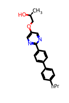 CCCc1ccc(-c2ccc(-c3ncc(OC[C@H](C)O)cn3)cc2)cc1